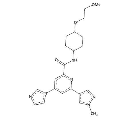 COCCOC1CCC(NC(=O)c2cc(-n3ccnc3)cc(-c3cnn(C)c3)n2)CC1